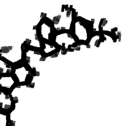 Cc1cc(C(F)(F)F)cc(C)c1-c1cccc2c1CCC2Oc1ncc2c(c1Br)OC[C@H]2CC(=O)O